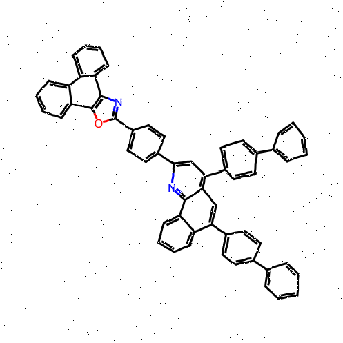 c1ccc(-c2ccc(-c3cc4c(-c5ccc(-c6ccccc6)cc5)cc(-c5ccc(-c6nc7c8ccccc8c8ccccc8c7o6)cc5)nc4c4ccccc34)cc2)cc1